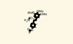 COc1cc(/C=C/c2ccc(OC(F)F)cc2)cc(OC)c1OC.NS(=O)(=O)O